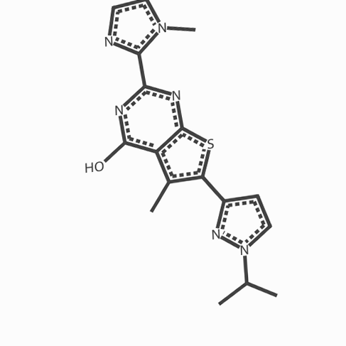 Cc1c(-c2ccn(C(C)C)n2)sc2nc(-c3nccn3C)nc(O)c12